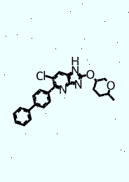 CC1CCC(Oc2nc3nc(-c4ccc(-c5ccccc5)cc4)c(Cl)cc3[nH]2)CO1